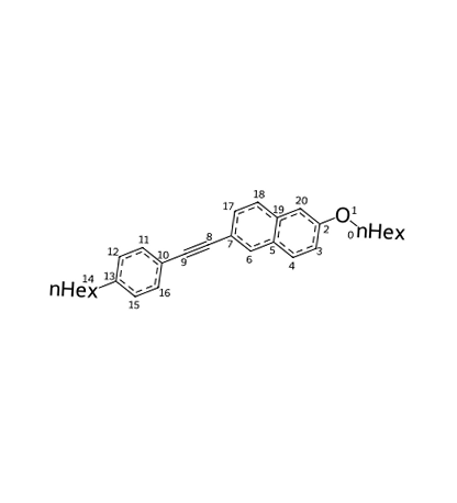 CCCCCCOc1ccc2cc(C#Cc3ccc(CCCCCC)cc3)ccc2c1